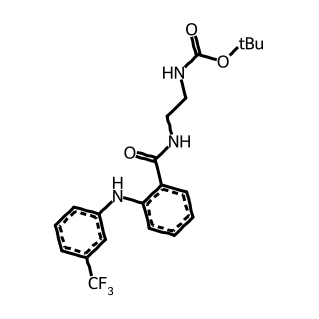 CC(C)(C)OC(=O)NCCNC(=O)c1ccccc1Nc1cccc(C(F)(F)F)c1